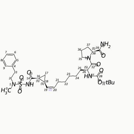 CN(CCc1ccccc1)S(=O)(=O)NC(=O)[C@H]1C[C@H]1/C=C\CCCCC[C@H](NC(=O)OC(C)(C)C)C(=O)N1CCC[C@H]1C(N)=O